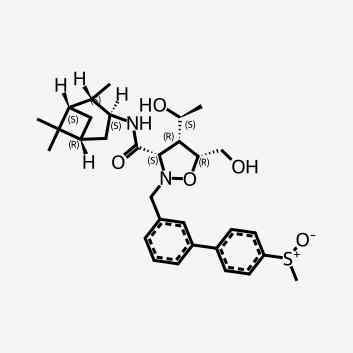 C[C@@H]1[C@@H](NC(=O)[C@@H]2[C@H]([C@H](C)O)[C@H](CO)ON2Cc2cccc(-c3ccc([S+](C)[O-])cc3)c2)C[C@H]2C[C@@H]1C2(C)C